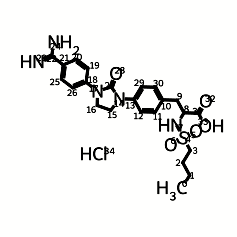 CCCCS(=O)(=O)NC(Cc1ccc(N2CCN(c3ccc(C(=N)N)cc3)C2=O)cc1)C(=O)O.Cl